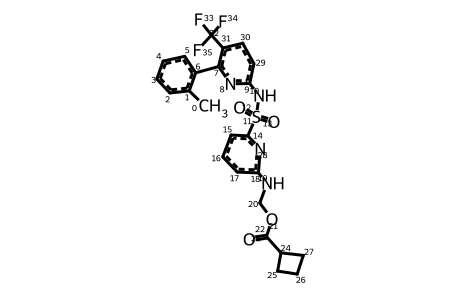 Cc1ccccc1-c1nc(NS(=O)(=O)c2cccc(NCOC(=O)C3CCC3)n2)ccc1C(F)(F)F